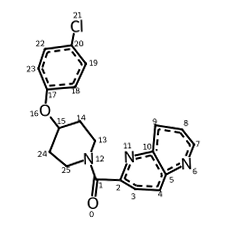 O=C(c1ccc2ncccc2n1)N1CCC(Oc2ccc(Cl)cc2)CC1